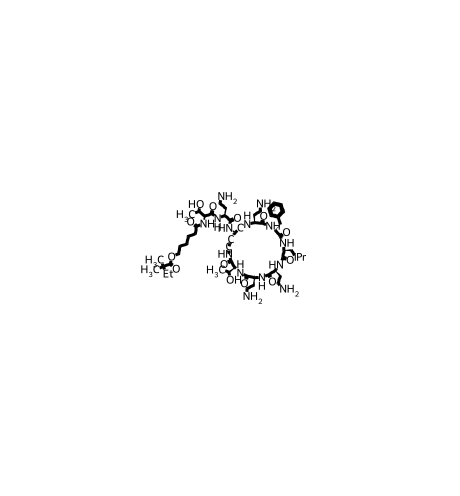 CCC(C)(C)C(=O)OCCCCCC(=O)N[C@H](C(=O)N[C@@H](CCN)C(=O)N[C@H]1CCNC(=O)[C@H](C(C)O)NC(=O)[C@H](CCN)NC(=O)[C@H](CCN)NC(=O)[C@H](CC(C)C)NC(=O)[C@@H](Cc2ccccc2)NC(=O)[C@H](CCN)NC1)C(C)O